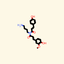 COc1cc(C=CC(=O)N(CCCCN)C(=O)C=Cc2ccc(O)cc2)ccc1O